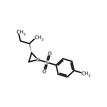 CCC(C)[C@H]1CN1S(=O)(=O)c1ccc(C)cc1